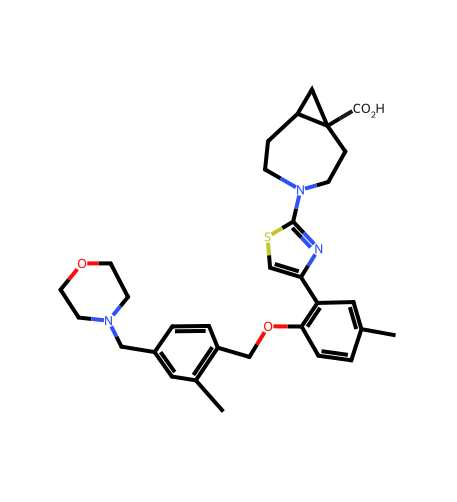 Cc1ccc(OCc2ccc(CN3CCOCC3)cc2C)c(-c2csc(N3CCC4CC4(C(=O)O)CC3)n2)c1